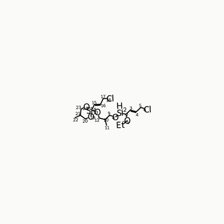 CCOC(/C=C/CCl)[SiH2]OCC(C)CO[Si]1(/C=C/CCl)OCC(C)CO1